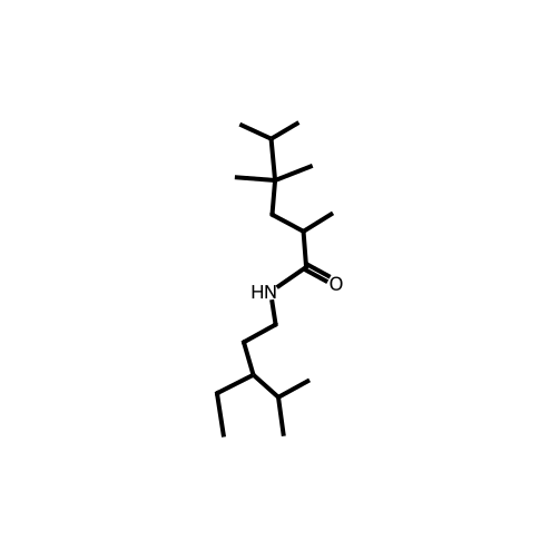 CCC(CCNC(=O)C(C)CC(C)(C)C(C)C)C(C)C